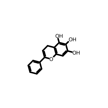 Oc1cc2c(c(O)c1O)CC=C(c1ccccc1)O2